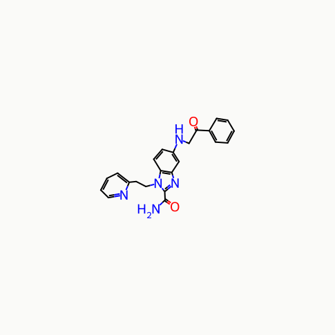 NC(=O)c1nc2cc(NCC(=O)c3ccccc3)ccc2n1CCc1ccccn1